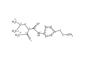 CCCc1ccc(NC(=O)C(CC(C)C)C(C)=O)cc1